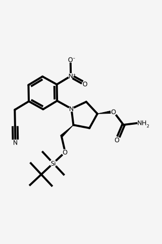 CC(C)(C)[Si](C)(C)OC[C@@H]1C[C@H](OC(N)=O)CN1c1cc(CC#N)ccc1[N+](=O)[O-]